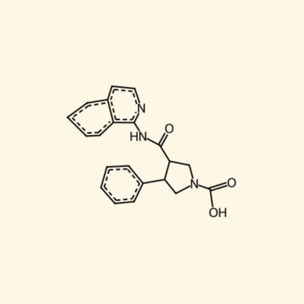 O=C(Nc1nccc2ccccc12)C1CN(C(=O)O)CC1c1ccccc1